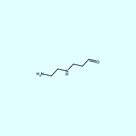 NCCNCCC=O